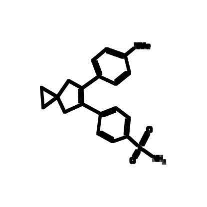 CNc1ccc(C2=C(c3ccc(S(N)(=O)=O)cc3)CC3(CC3)C2)cc1